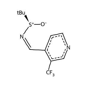 CC(C)(C)[S@@+]([O-])/N=C\c1ccncc1C(F)(F)F